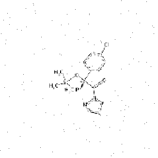 CC(C)[C@](O[Si](C)(C)C)(C(=O)n1cncn1)c1ccc(Cl)cc1